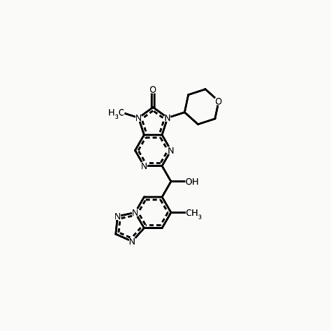 Cc1cc2ncnn2cc1C(O)c1ncc2c(n1)n(C1CCOCC1)c(=O)n2C